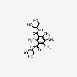 Cc1c(N)c(C)c(C(=O)NC(CO)CO)c(C)c1C(=O)NC(CO)CO